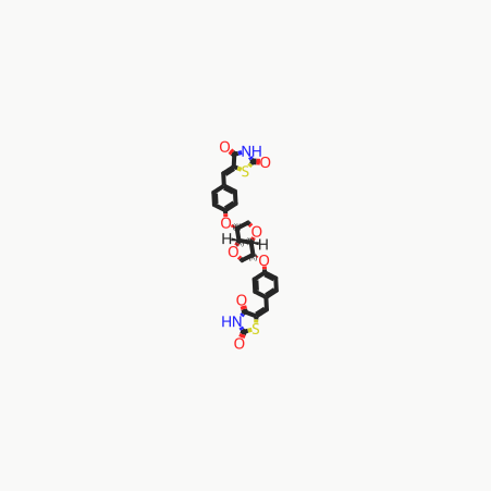 O=C1NC(=O)C(=Cc2ccc(O[C@H]3CO[C@H]4[C@@H]3OC[C@H]4Oc3ccc(C=C4SC(=O)NC4=O)cc3)cc2)S1